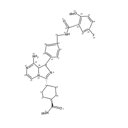 CNC(=O)[C@H]1CC[C@H](C2=NC(c3ccc(CNC(=O)c4cc(F)ccc4OC)cc3)C3C(N)=NC=CN23)CC1